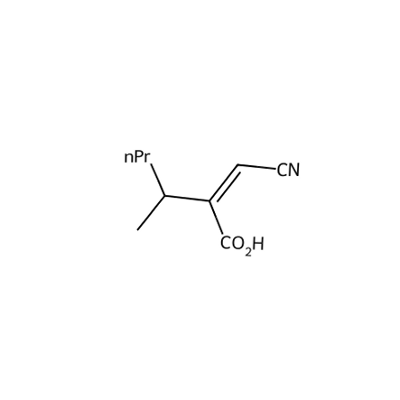 CCCC(C)C(=CC#N)C(=O)O